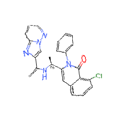 C=C(N[C@@H](C)c1cc2cccc(Cl)c2c(=O)n1-c1ccccc1)c1cn2ncccc2n1